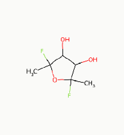 CC1(F)OC(C)(F)C(O)C1O